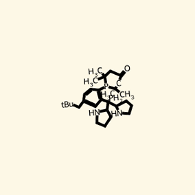 CC(C)(C)Cc1ccc(P2C(C)(C)CC(=O)CC2(C)C)c(C(P)(C2CCCN2)C2CCCN2)c1